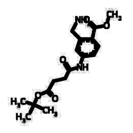 COC(=O)c1ccc(NC(=O)CCC(=O)OC(C)(C)C)cc1CN